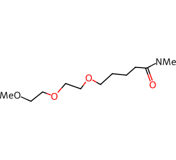 CNC(=O)CCCCOCCOCCOC